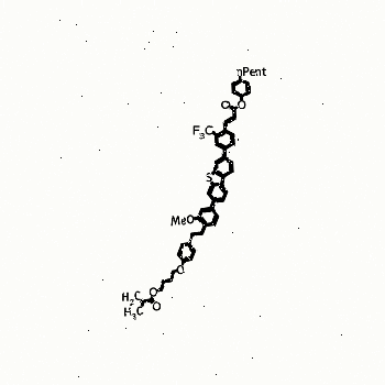 C=C(C)C(=O)OCCCCOc1ccc(CCc2ccc(-c3ccc4c(c3)sc3cc(-c5ccc(/C=C/C(=O)Oc6ccc(CCCCC)cc6)c(C(F)(F)F)c5)ccc34)cc2OC)cc1